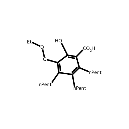 CCCCCc1c(CCCCC)c(OOCC)c(O)c(C(=O)O)c1CCCCC